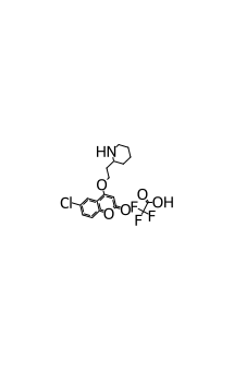 O=C(O)C(F)(F)F.O=c1cc(OCCC2CCCCN2)c2cc(Cl)ccc2o1